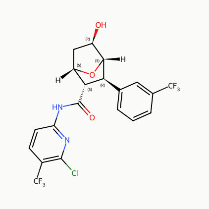 O=C(Nc1ccc(C(F)(F)F)c(Cl)n1)[C@H]1[C@H](c2cccc(C(F)(F)F)c2)[C@@H]2O[C@H]1C[C@H]2O